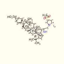 C=C(C)[C@@H]1CC[C@]2(NCCN3C[C@H](S(C)(=O)=O)C[C@@H]3I)CC[C@]3(C)[C@H](CC[C@@H]4[C@@]5(C)CC=C(C6=CC7C(C6)C7C(=O)O)C(C)(C)[C@@H]5CC[C@]43C)[C@@H]12